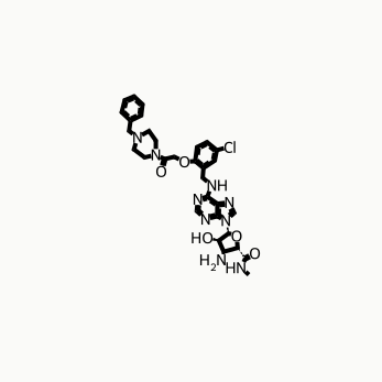 CNC(=O)[C@H]1O[C@@H](n2cnc3c(NCc4cc(Cl)ccc4OCC(=O)N4CCN(Cc5ccccc5)CC4)ncnc32)[C@H](O)[C@@H]1N